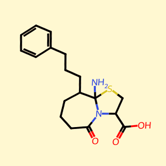 NC12SCC(C(=O)O)N1C(=O)CCCC2CCCc1ccccc1